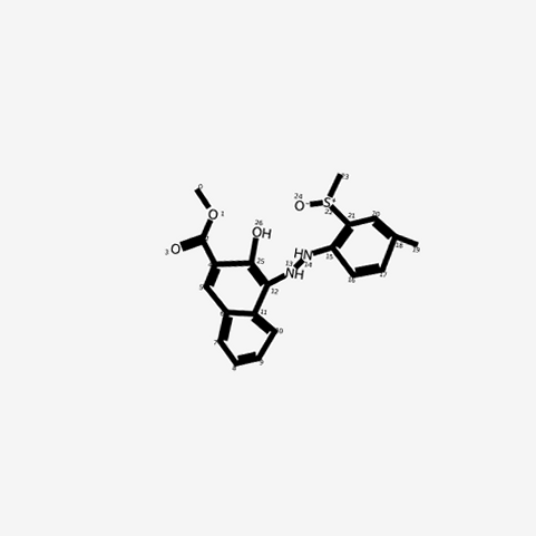 COC(=O)c1cc2ccccc2c(NNc2ccc(C)cc2[S+](C)[O-])c1O